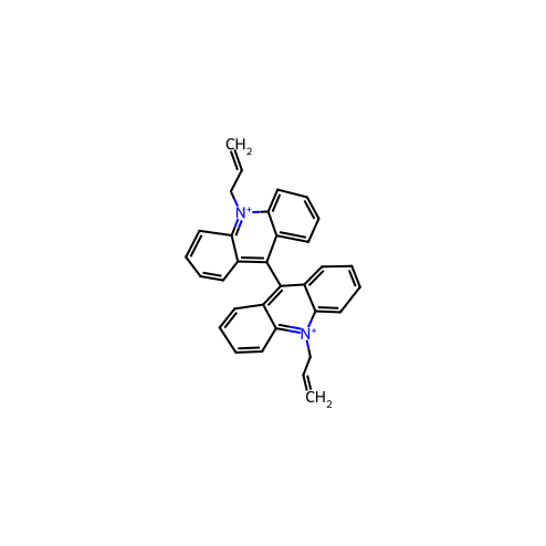 C=CC[n+]1c2ccccc2c(-c2c3ccccc3[n+](CC=C)c3ccccc23)c2ccccc21